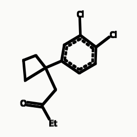 CCC(=O)CC1(c2ccc(Cl)c(Cl)c2)CCC1